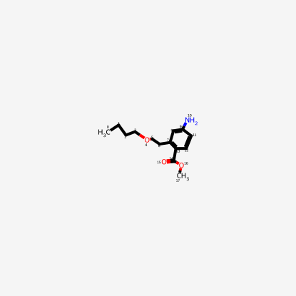 CCCCOCCc1cc(N)ccc1C(=O)OC